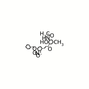 CC(=O)Nc1cc(C)cc(C(=O)C=Cc2ccc(OCc3ccccc3)c([N+](=O)[O-])c2)c1O